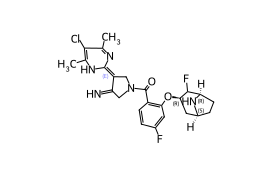 CC1=N/C(=C2\CN(C(=O)c3ccc(F)cc3O[C@@H]3C[C@@H]4CC[C@@H](N4)C3F)CC2=N)NC(C)=C1Cl